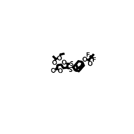 CCOC(C)OC1C(=O)OC2C1OC1SC3(SC12)C1CC2CC3CC(OC(=O)C(C)(F)F)(C2)C1